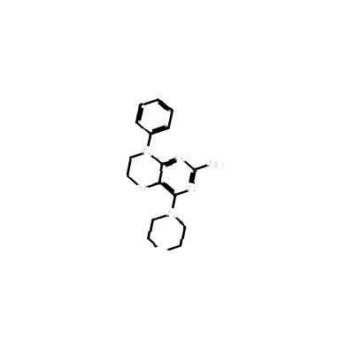 Nc1nc(N2CCOCC2)c2c(n1)N(c1ccccc1)CCN2